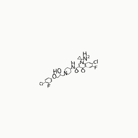 NC1(n2cc(C(=O)NC3CCN(CC(O)COc4ccc(Cl)c(F)c4)CC3)c(=O)c3cc(F)c(Cl)cc32)CC1